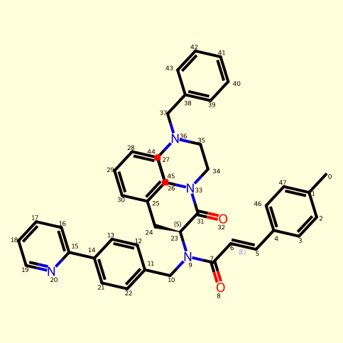 Cc1ccc(/C=C/C(=O)N(Cc2ccc(-c3ccccn3)cc2)[C@@H](Cc2ccccc2)C(=O)N2CCN(Cc3ccccc3)CC2)cc1